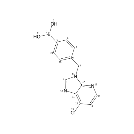 OB(O)c1ccc(Cn2cnc3c(Cl)ccnc32)cc1